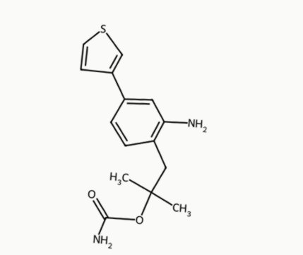 CC(C)(Cc1ccc(-c2ccsc2)cc1N)OC(N)=O